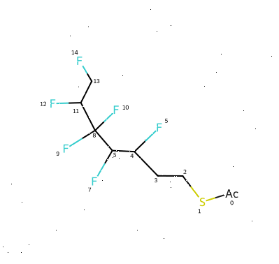 CC(=O)SCCC(F)C(F)C(F)(F)C(F)CF